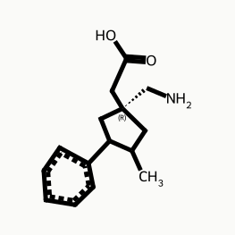 CC1C[C@](CN)(CC(=O)O)CC1c1ccccc1